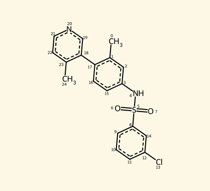 Cc1cc(NS(=O)(=O)c2cccc(Cl)c2)ccc1-c1cnccc1C